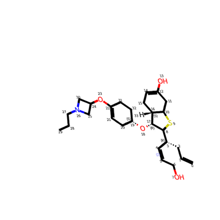 C=CC[C@H](/C=C\CO)C1SC2CC(O)=CC[C@H]2[C@H]1O[C@@H]1CC=C(OC2CN(CCC)C2)CC1